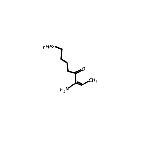 C/C=C(/N)C(=O)CCCCCCCCCC